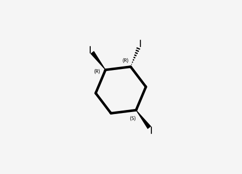 I[C@H]1CC[C@@H](I)[C@H](I)C1